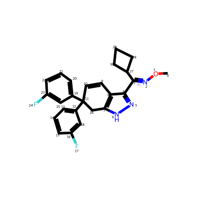 CO/N=C(/c1n[nH]c2c1C=CC(c1cccc(F)c1)(c1cccc(F)c1)C2)C1CCC1